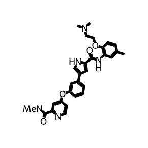 CNC(=O)c1cc(Oc2cccc(-c3c[nH]c(C(=O)Nc4cc(C)ccc4OCCN(C)C)c3)c2)ccn1